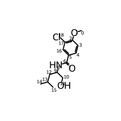 COc1ccc(C(=O)NC(CO)CC(C)C)cc1Cl